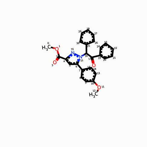 COC(=O)c1cc(-c2ccc(OC)cc2)n(C(C(=O)c2ccccc2)c2ccccc2)n1